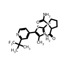 Cc1nc([N+]2(C(N)=O)CCCC2C(N)=O)sc1-c1ccnc(C(C)(C)C(F)(F)F)c1